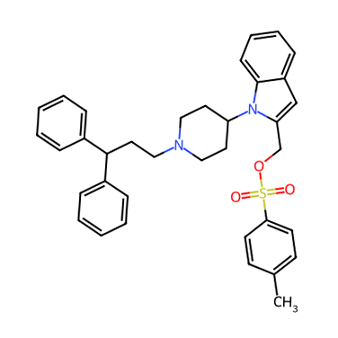 Cc1ccc(S(=O)(=O)OCc2cc3ccccc3n2C2CCN(CCC(c3ccccc3)c3ccccc3)CC2)cc1